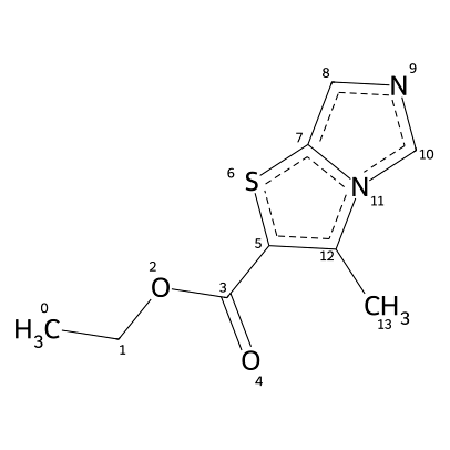 CCOC(=O)c1sc2cncn2c1C